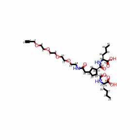 C#CCOCCOCCOCCOCCNC(=O)CC1C[C@@H](C(=O)N[C@@H](CCCC)C(=O)O)[C@H](C(=O)N[C@@H](CCCC)C(=O)O)C1